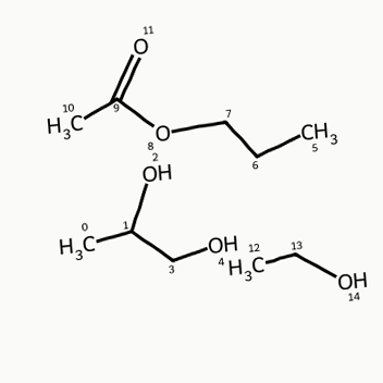 CC(O)CO.CCCOC(C)=O.CCO